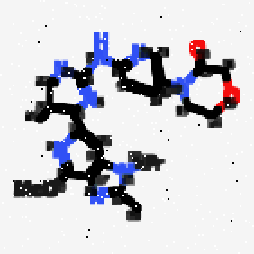 COc1nc(-c2nc(Nc3ccc(N4CCOCC4=O)cn3)ncc2C)cc2c1nc(C)n2C(C)C